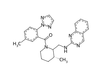 Cc1ccc(-n2nccn2)c(C(=O)N2CCC[C@@H](C)C2CNc2ncc3ccccc3n2)c1